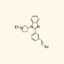 CCN1CCC(n2c(-c3cccc(/C=C/C(C)=O)c3)nc3ccccc32)C1